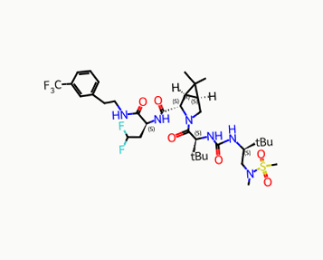 CN(C[C@@H](NC(=O)N[C@H](C(=O)N1C[C@H]2[C@@H]([C@H]1C(=O)N[C@@H](CC(F)F)C(=O)NCCc1cccc(C(F)(F)F)c1)C2(C)C)C(C)(C)C)C(C)(C)C)S(C)(=O)=O